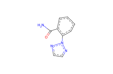 NC(=O)c1ccccc1-n1nccn1